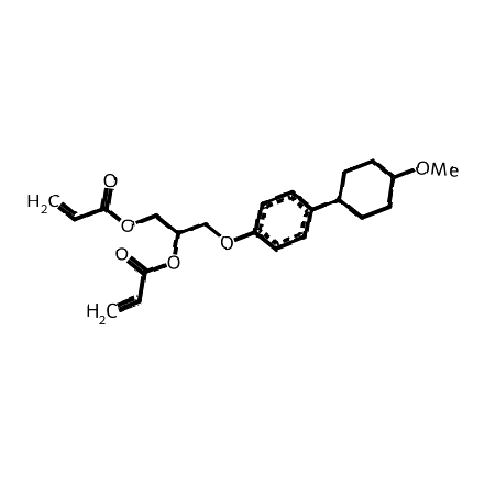 C=CC(=O)OCC(COc1ccc(C2CCC(OC)CC2)cc1)OC(=O)C=C